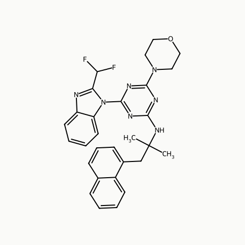 CC(C)(Cc1cccc2ccccc12)Nc1nc(N2CCOCC2)nc(-n2c(C(F)F)nc3ccccc32)n1